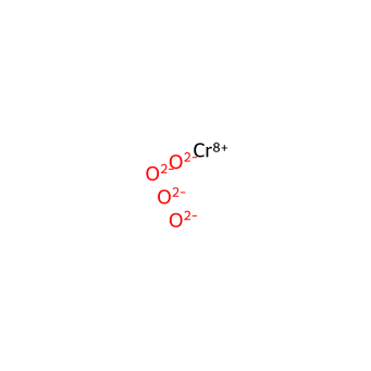 [Cr+8].[O-2].[O-2].[O-2].[O-2]